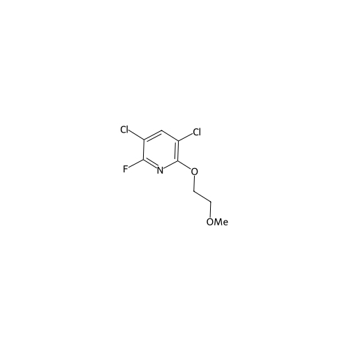 COCCOc1nc(F)c(Cl)cc1Cl